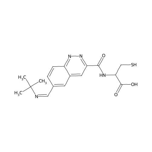 CC(C)(C)/N=C\c1ccc2nnc(C(=O)NC(CS)C(=O)O)cc2c1